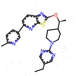 CCc1cnc(N2CCC([C@H](C)Oc3nc4ccc(-c5ccc(C)nc5)nc4s3)CC2)nc1